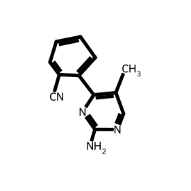 Cc1cnc(N)nc1-c1ccccc1C#N